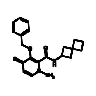 Nn1ccc(=O)c(OCc2ccccc2)c1C(=O)NC1CC2(CCC2)C1